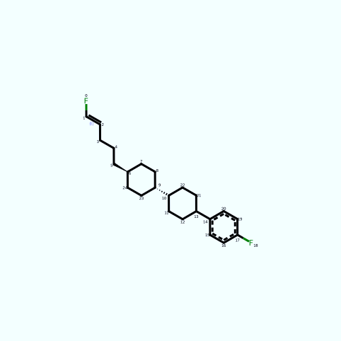 F/C=C/CCC[C@H]1CC[C@H](C2CCC(c3ccc(F)cc3)CC2)CC1